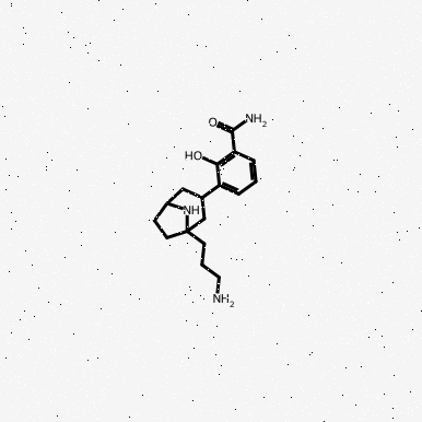 NCCCC12CCC(CC(c3cccc(C(N)=O)c3O)C1)N2